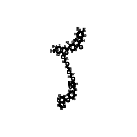 C[C@@H]1CN(CC(=O)N2CCN(C(=O)c3cc4cc(F)c(F)cc4n3C)C[C@H]2C)[C@@H](COCCOCCOCCOc2cc(CN3CCC(Oc4ccnc5ccsc45)CC3)on2)CN1